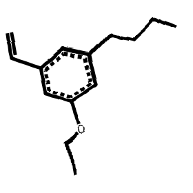 C=Cc1cc(CCCC)cc(OCC)c1